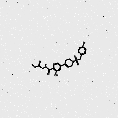 COC(=O)CNC(=O)c1ncc(C2=CCN(S(=O)(=O)Cc3ccc(Br)cc3)CC2)cc1O